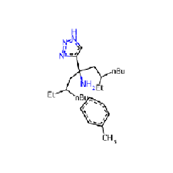 CCCCC(CC)CC(N)(CC(CC)CCCC)c1c[nH]nn1.Cc1ccccc1